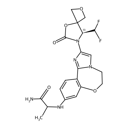 CC(Nc1ccc2c(c1)OCCn1cc(N3C(=O)OC4(COC4)[C@H]3C(F)F)nc1-2)C(N)=O